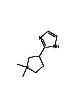 C[Si]1(C)CCC(c2ncc[nH]2)C1